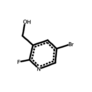 OCc1cc(Br)cnc1F